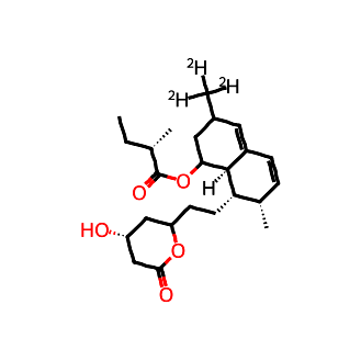 [2H]C([2H])([2H])C1C=C2C=C[C@H](C)[C@H](CCC3C[C@@H](O)CC(=O)O3)[C@H]2C(OC(=O)[C@@H](C)CC)C1